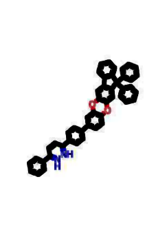 N=C(/C=C\C(=N)c1ccc(-c2ccc3c(c2)Oc2cc4c(cc2O3)C(c2ccccc2)(c2ccccc2)c2ccccc2-4)cc1)c1ccccc1